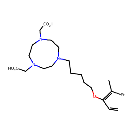 C=CC(OCCCCCN1CCN(CC(=O)O)CCN(CC(=O)O)CC1)=C(C)CC